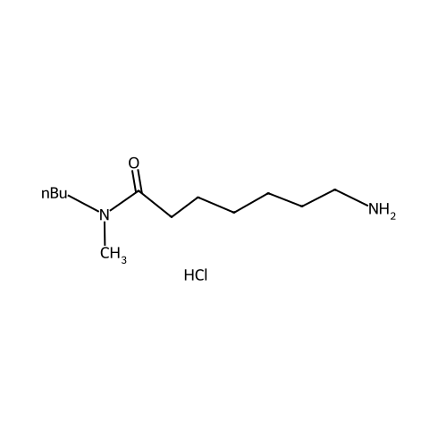 CCCCN(C)C(=O)CCCCCCN.Cl